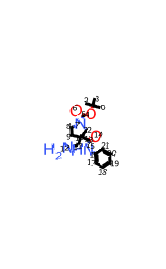 CC(C)(C)OC(=O)N1CCC(CN)(C(=O)Nc2ccccc2)C1